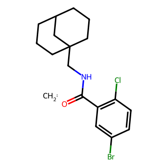 O=C(NCC12CCCC(CCC1)C2)c1cc(Br)ccc1Cl.[CH2]